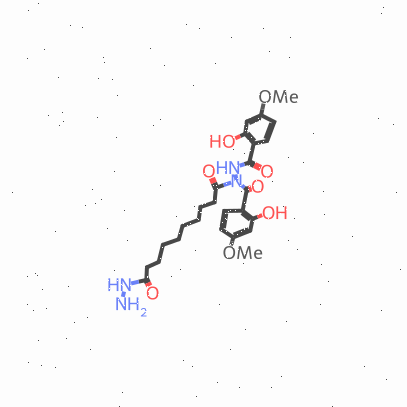 COc1ccc(C(=O)NN(C(=O)CCCCCCCCC(=O)NN)C(=O)c2ccc(OC)cc2O)c(O)c1